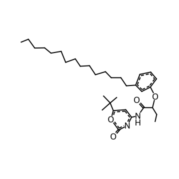 CCCCCCCCCCCCCCCc1cccc(OC(CC)C(=O)Nc2cc(C(C)(C)C)oc(=O)n2)c1